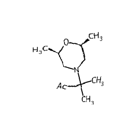 CC(=O)C(C)(C)N1C[C@@H](C)O[C@@H](C)C1